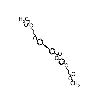 C=COC(=O)CCCOc1ccc(OC(=O)c2ccc(C#Cc3ccc(OCCCCOC(=O)C=C)cc3)cc2)cc1